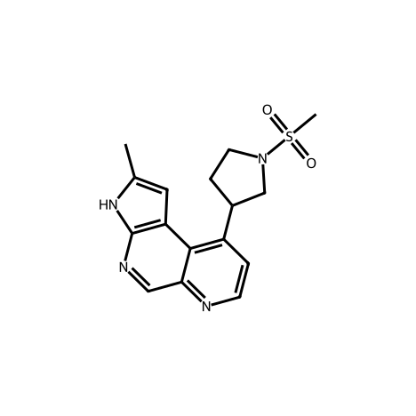 Cc1cc2c(ncc3nccc(C4CCN(S(C)(=O)=O)C4)c32)[nH]1